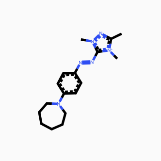 Cc1nn(C)c(N=Nc2ccc(N3CCCCCC3)cc2)[n+]1C